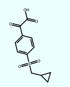 O=C(O)C(=O)c1ccc(S(=O)(=O)CC2CC2)cc1